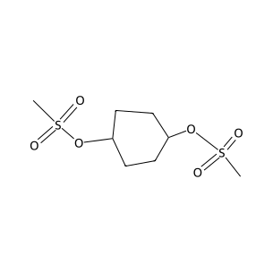 CS(=O)(=O)OC1CCC(OS(C)(=O)=O)CC1